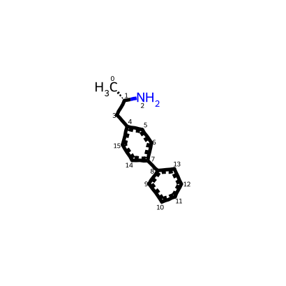 C[C@H](N)Cc1ccc(-c2ccccc2)cc1